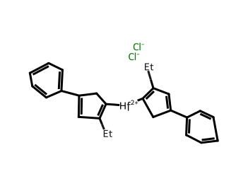 CCC1=[C]([Hf+2][C]2=C(CC)C=C(c3ccccc3)C2)CC(c2ccccc2)=C1.[Cl-].[Cl-]